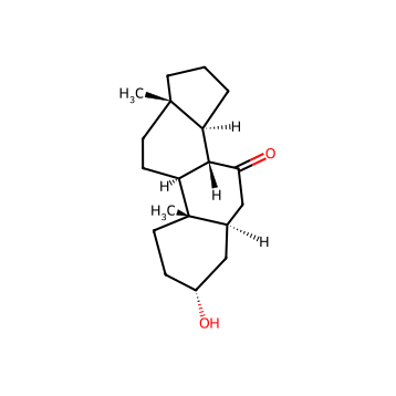 C[C@@]12CCC[C@H]1[C@@H]1C(=O)C[C@H]3C[C@H](O)CC[C@]3(C)[C@H]1CC2